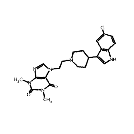 Cn1c(=O)c2c(ncn2CCN2CCC(c3c[nH]c4ccc(Cl)cc34)CC2)n(C)c1=O